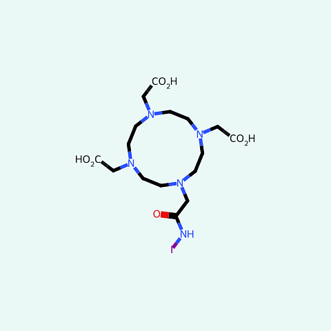 O=C(O)CN1CCN(CC(=O)O)CCN(CC(=O)NI)CCN(CC(=O)O)CC1